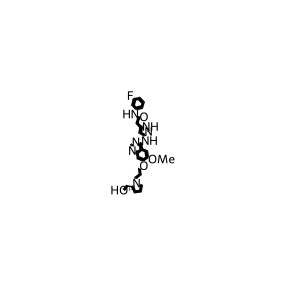 COc1cc2c(Nc3cc(CC(=O)Nc4cccc(F)c4)[nH]n3)ncnc2cc1OCCCN1CCC[C@H]1CO